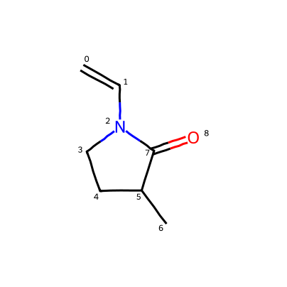 C=CN1CCC(C)C1=O